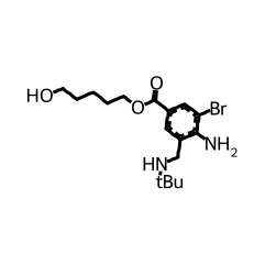 CC(C)(C)NCc1cc(C(=O)OCCCCCO)cc(Br)c1N